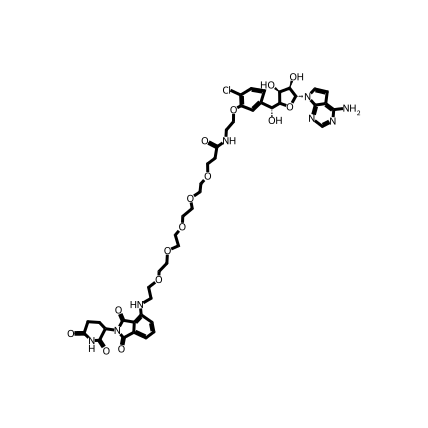 Nc1ncnc2c1ccn2[C@@H]1OC([C@H](O)c2ccc(Cl)c(OCCNC(=O)CCOCCOCCOCCOCCOCCNc3cccc4c3C(=O)N(C3CCC(=O)NC3=O)C4=O)c2)[C@@H](O)[C@H]1O